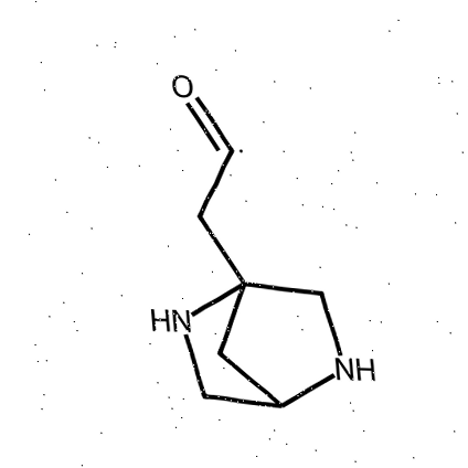 O=[C]CC12CNC(CN1)C2